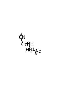 CC(=O)NNCC#N